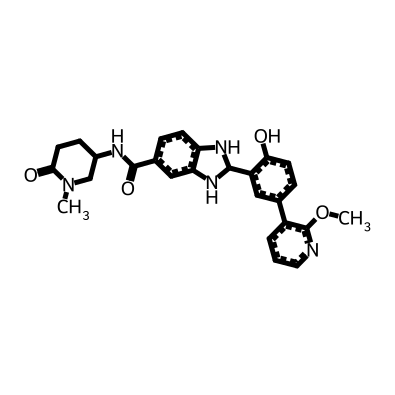 COc1ncccc1-c1ccc(O)c(C2Nc3ccc(C(=O)NC4CCC(=O)N(C)C4)cc3N2)c1